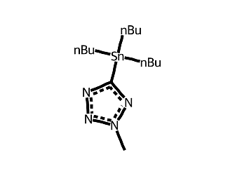 CCC[CH2][Sn]([CH2]CCC)([CH2]CCC)[c]1nnn(C)n1